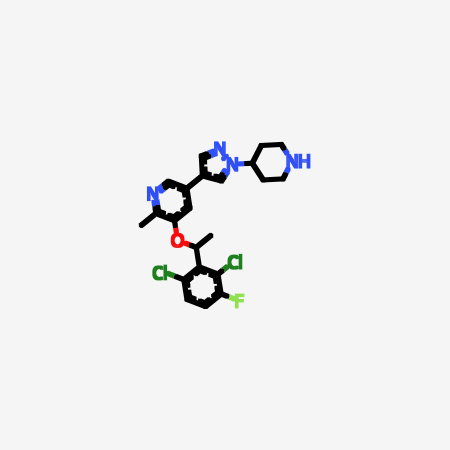 Cc1ncc(-c2cnn(C3CCNCC3)c2)cc1OC(C)c1c(Cl)ccc(F)c1Cl